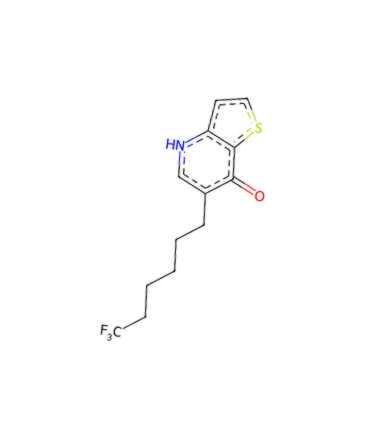 O=c1c(CCCCCC(F)(F)F)c[nH]c2ccsc12